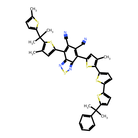 Cc1ccc(C(C)(C)c2sc(-c3c(C#N)c(C#N)c(-c4cc(C)c(-c5ccc(-c6ccc(C(C)(C)c7ccccc7)s6)s5)s4)c4nsnc34)cc2C)s1